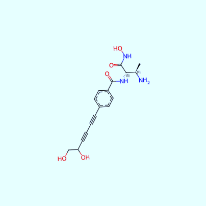 C[C@@H](N)[C@H](NC(=O)c1ccc(C#CC#CC(O)CO)cc1)C(=O)NO